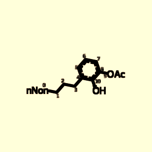 CCCCCCCCCCCCc1cccc(OC(C)=O)c1O